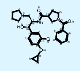 O=C(N[C@H](CN1CCCC1)[C@H](O)c1ccc(OC2CC2)c(Cl)c1)C1CCN(C(=O)c2ccccc2)C1